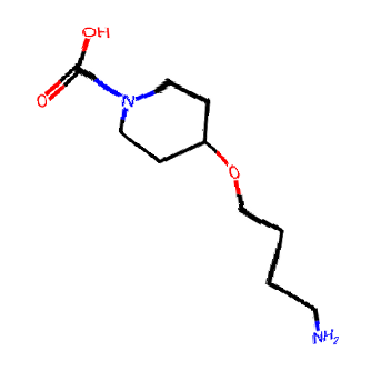 NCCCCOC1CCN(C(=O)O)CC1